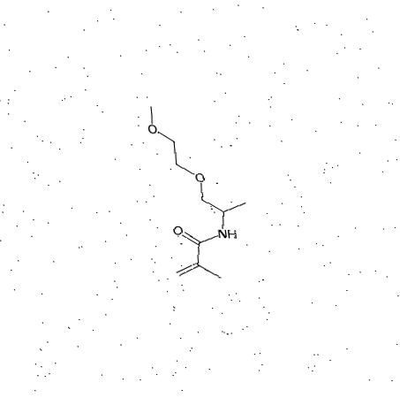 C=C(C)C(=O)NC(C)COCCOC